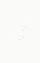 O=Cc1cc(Br)c(CO)c(C(O)c2cc(F)c(CO)cc2Br)c1F